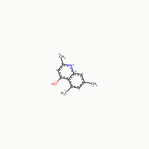 Cc1cc(C)c2c(O)cc(C)nc2c1